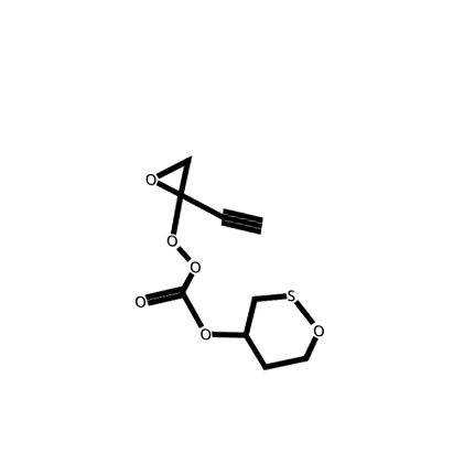 C#CC1(OOC(=O)OC2CCOSC2)CO1